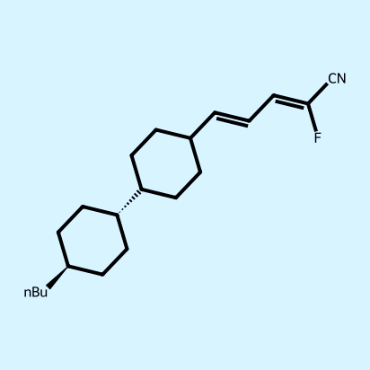 CCCC[C@H]1CC[C@H](C2CCC(C=CC=C(F)C#N)CC2)CC1